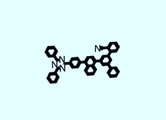 N#Cc1ccccc1C1C=C(c2ccc(-c3ccc(-c4nc(-c5ccccc5)nc(-c5ccccc5)n4)cc3)c3ccccc23)C=C(c2ccccc2)C1